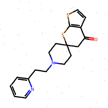 O=C1CC2(CCN(CCc3ccccn3)CC2)Sc2sccc21